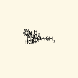 CCCCCOc1ccnc(SCc2nc3ccccc3[nH]2)c1C.Cl